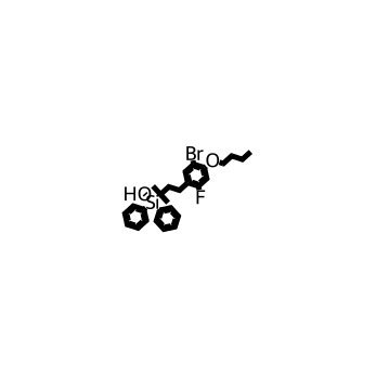 CCCCOc1cc(F)c(CCC(C)(C)[Si](O)(c2ccccc2)c2ccccc2)cc1Br